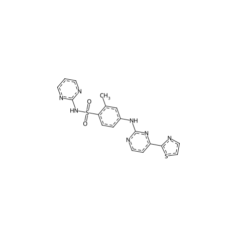 Cc1cc(Nc2nccc(-c3nccs3)n2)ccc1S(=O)(=O)Nc1ncccn1